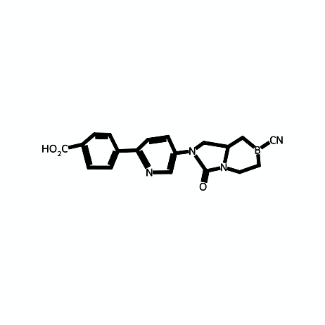 N#CB1CCN2C(=O)N(c3ccc(-c4ccc(C(=O)O)cc4)nc3)CC2C1